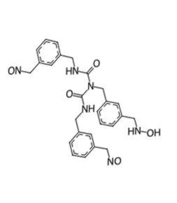 O=NCc1cccc(CNC(=O)N(Cc2cccc(CNO)c2)C(=O)NCc2cccc(CN=O)c2)c1